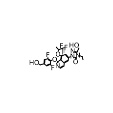 CCn1c(CO)nn(-c2cc(OC(C)C(F)(F)F)c3c(Oc4c(F)cc(CO)cc4F)nccc3c2)c1=O